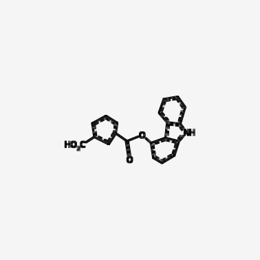 O=C(O)c1cccc(C(=O)Oc2cccc3[nH]c4ccccc4c23)c1